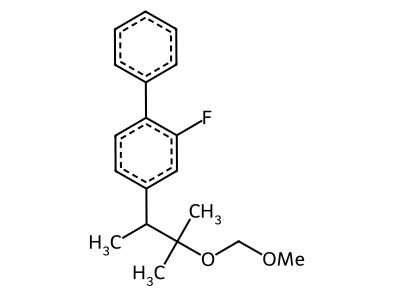 COCOC(C)(C)C(C)c1ccc(-c2ccccc2)c(F)c1